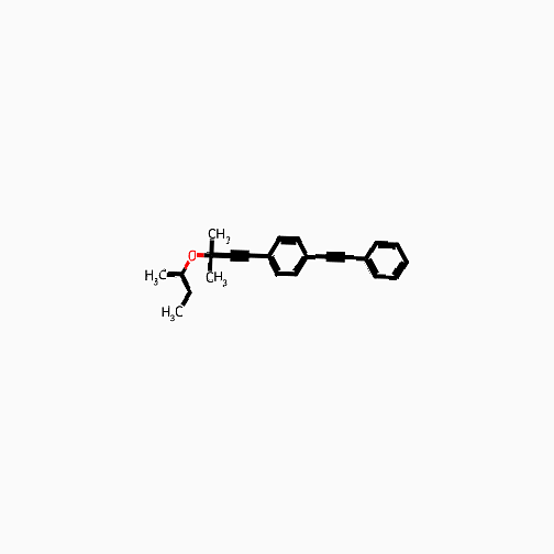 CCC(C)OC(C)(C)C#Cc1ccc(C#Cc2ccccc2)cc1